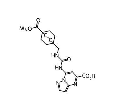 COC(=O)C12CCC(CNC(=O)Nc3cc(C(=O)O)nc4ccnn34)(CC1)CC2